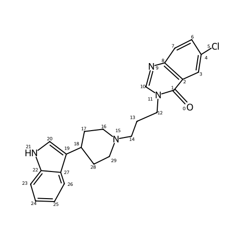 O=c1c2cc(Cl)ccc2ncn1CCCN1CCC(c2c[nH]c3ccccc23)CC1